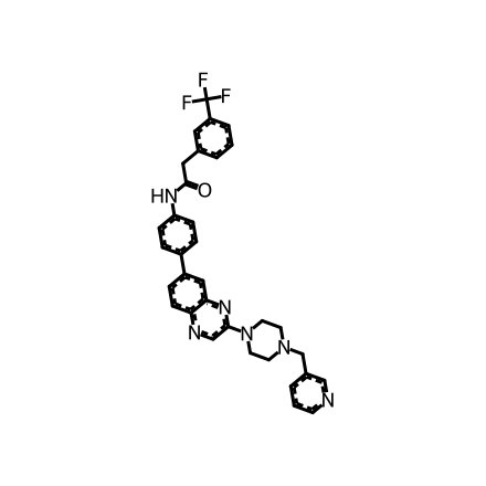 O=C(Cc1cccc(C(F)(F)F)c1)Nc1ccc(-c2ccc3ncc(N4CCN(Cc5cccnc5)CC4)nc3c2)cc1